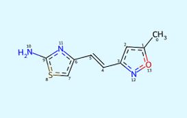 Cc1cc(C=Cc2csc(N)n2)no1